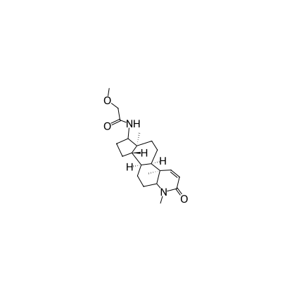 COCC(=O)NC1CC[C@H]2[C@@H]3CCC4N(C)C(=O)C=C[C@]4(C)[C@@H]3CC[C@]12C